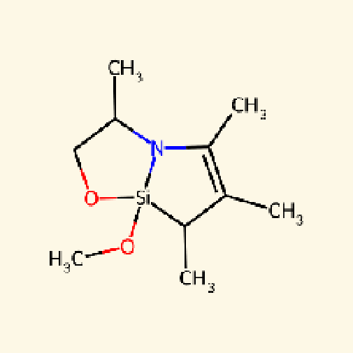 CO[Si]12OCC(C)N1C(C)=C(C)C2C